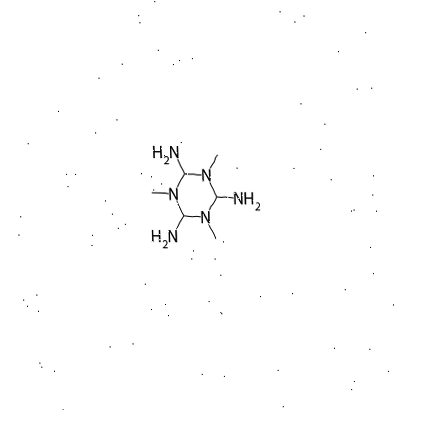 CN1C(N)N(C)C(N)N(C)C1N